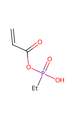 C=CC(=O)OP(=O)(O)CC